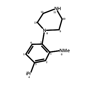 CNc1cc(C(C)C)ccc1N1CCNCC1